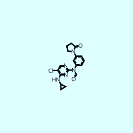 O=CN(c1cccc(N2CCCC2=O)c1)c1ncc(Cl)c(NC2CC2)n1